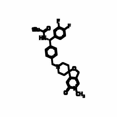 Cn1cc2c(cc1=O)C1(CCN(Cc3ccc([C@H](NC(=O)C(C)(C)C)c4ccc(F)c(F)c4)cc3)CC1)OC2